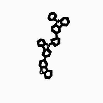 C1=CC2Oc3ccc(-c4ccc5c(c4)c4ccccc4n5-c4cccc(-c5ccc6c(c5)c5ccccc5n6-c5ccccc5)c4)cc3C2C=C1